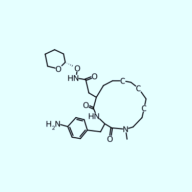 CN1CCCCCCCCCC(CC(=O)NO[C@H]2CCCCO2)C(=O)NC(Cc2ccc(N)cc2)C1=O